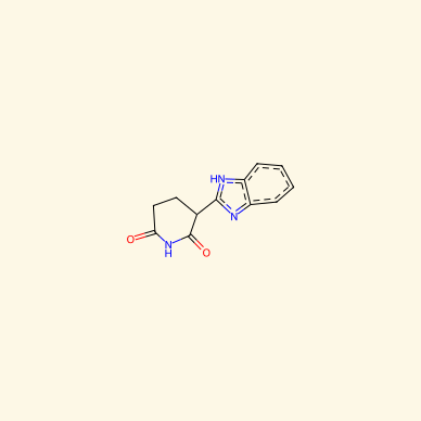 O=C1CCC(c2nc3ccccc3[nH]2)C(=O)N1